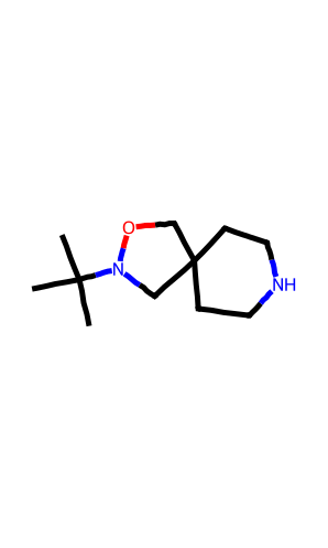 CC(C)(C)N1CC2(CCNCC2)CO1